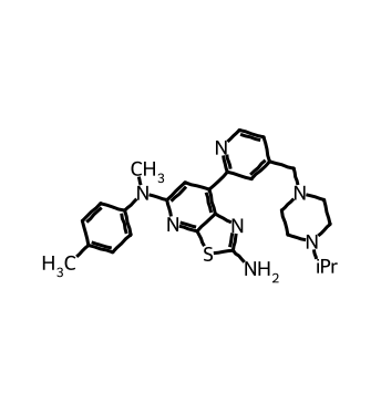 Cc1ccc(N(C)c2cc(-c3cc(CN4CCN(C(C)C)CC4)ccn3)c3nc(N)sc3n2)cc1